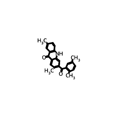 Cc1ccc(C)c(C(=O)c2cc3[nH]c4ccc(C)cc4c(=O)c3cc2C)c1